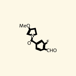 COC1=CN(C(=O)c2ccc(C=O)c(F)c2)CC1